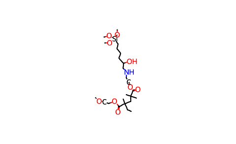 CCC(C)(CC(C)(C)C(=O)OCCNCC(O)CCCC[Si](OC)(OC)OC)C(=O)OCCOC